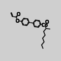 C=CC(=O)Oc1ccc(-c2cc[c]([Co](=[O])[CH](C)CCCCCC)cc2)cc1